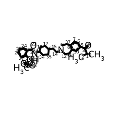 CC(C)C(=O)c1ccc2c(c1)CCN(CCC1CCC(NC(=O)c3ccccc3NS(C)(=O)=O)CC1)CC2